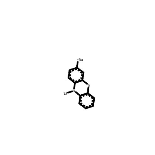 CCN1c2ccccc2Sc2cc(C(C)(C)C)ccc21